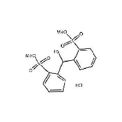 COS(=O)(=O)c1ccccc1C(S)c1ccccc1S(=O)(=O)OC.Cl